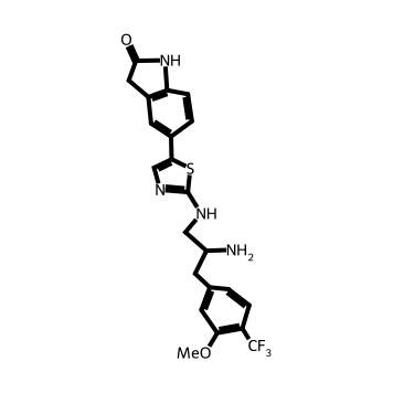 COc1cc(CC(N)CNc2ncc(-c3ccc4c(c3)CC(=O)N4)s2)ccc1C(F)(F)F